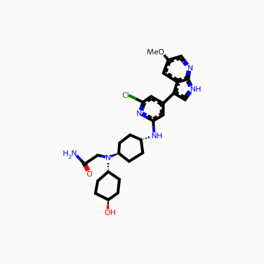 COc1cnc2[nH]cc(-c3cc(Cl)nc(N[C@H]4CC[C@H](N(CC(N)=O)[C@H]5CC[C@H](O)CC5)CC4)c3)c2c1